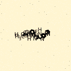 CC(C)(C)OC(=O)N[C@H]1CCCC(F)(F)[C@H]1Nc1ncc(C#N)c(Nc2cccc(-n3cccn3)c2)n1